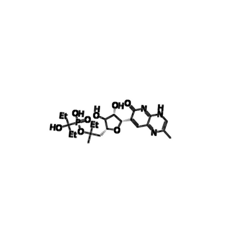 CCC(C)(C[C@H]1O[C@@H](c2cc3nc(C)c[nH]c-3nc2=O)[C@@H](O)C1O)OP(=O)(O)C(O)(CC)CC